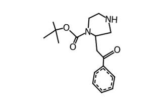 CC(C)(C)OC(=O)N1CCNCC1CC(=O)c1ccccc1